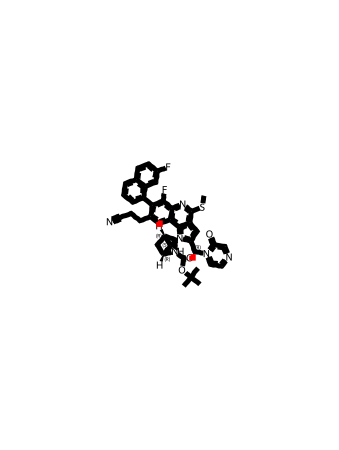 CSc1nc2c(F)c(-c3cccc4ccc(F)cc34)c(CCC#N)cc2c2c1cc([C@@H](C)n1ccncc1=O)n2[C@H]1[C@@H]2C[C@H]1N(C(=O)OC(C)(C)C)C2